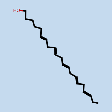 CCC=CCC=CCC=CCC=CCC=CCCCCCO